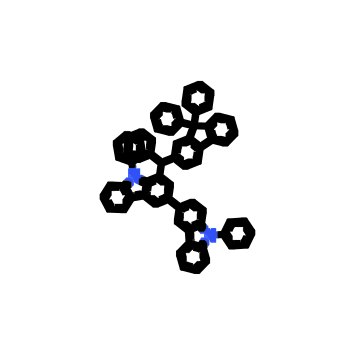 c1ccc(C(c2ccc3c(c2)C(c2ccccc2)(c2ccccc2)c2ccccc2-3)c2cc(-c3ccc4c(c3)c3ccccc3n4-c3ccccc3)cc3c4ccccc4n(-c4ccccc4)c23)cc1